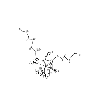 CCCCCCOP(=O)(OCCCCCC)C(N)(N)C(N)(N)Cl